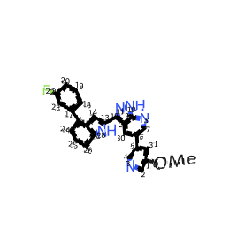 COc1cncc(-c2cnc3[nH]nc(-c4cc5c(-c6cccc(F)c6)cccc5[nH]4)c3c2)c1